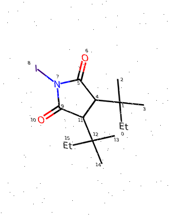 CCC(C)(C)C1C(=O)N(I)C(=O)C1C(C)(C)CC